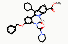 COC(=O)c1ccc2c(C3CCCCC3)c(-c3ccc(OCc4ccccc4)cc3N(C=O)CC(=O)N3CCCCC3)n(C)c2c1